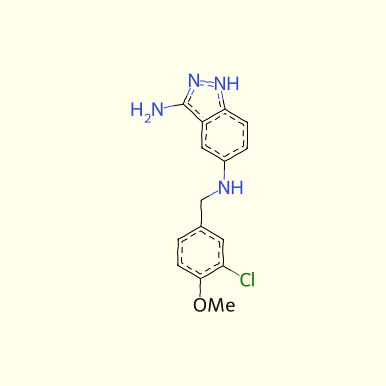 COc1ccc(CNc2ccc3[nH]nc(N)c3c2)cc1Cl